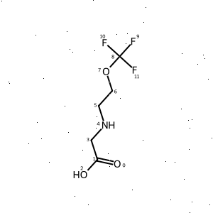 O=C(O)CNCCOC(F)(F)F